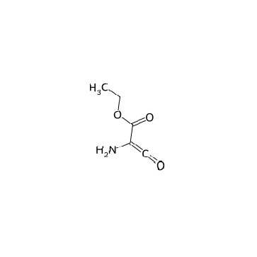 CCOC(=O)C(N)=C=O